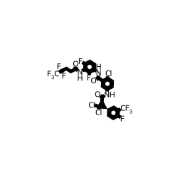 O=C(CCC(F)(F)C(F)(F)F)Nc1c(F)ccc(NC(=O)c2cc(NC(=O)C3[C@H](c4ccc(F)c(C(F)(F)F)c4)C3(Cl)Cl)ccc2Cl)c1F